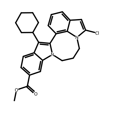 COC(=O)c1ccc2c(C3CCCCC3)c3n(c2c1)CCCn1c(Cl)cc2cccc-3c21